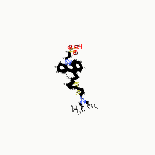 CCN(CC)c1ccc(-c2ccc(/C=C/c3c4ccccc4[n+](CCCS(=O)(=O)O)c4ccccc34)s2)s1